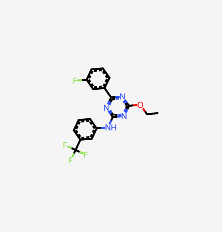 CCOc1nc(Nc2cccc(C(F)(F)F)c2)nc(-c2cccc(F)c2)n1